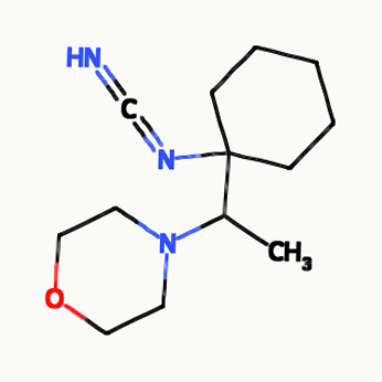 CC(N1CCOCC1)C1(N=C=N)CCCCC1